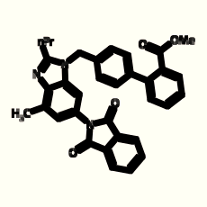 CCCc1nc2c(C)cc(N3C(=O)c4ccccc4C3=O)cc2n1Cc1ccc(-c2ccccc2C(=O)OC)cc1